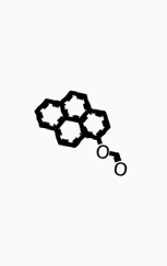 O=COc1ccc2ccc3cccc4ccc1c2c34